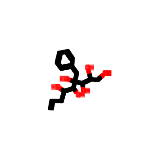 C=CCC(O)C(O)C(O)(Cc1ccccc1)C(O)C(O)CO